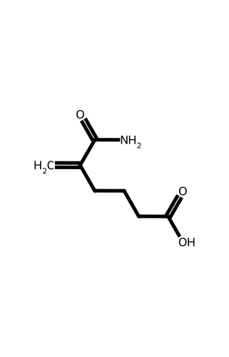 C=C(CCCC(=O)O)C(N)=O